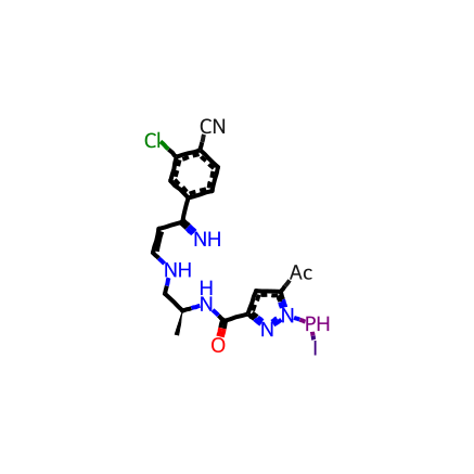 CC(=O)c1cc(C(=O)N[C@@H](C)CN/C=C\C(=N)c2ccc(C#N)c(Cl)c2)nn1PI